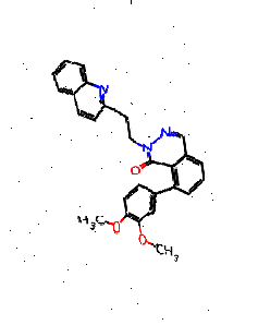 COc1ccc(-c2cccc3cnn(CCc4ccc5ccccc5n4)c(=O)c23)cc1OC